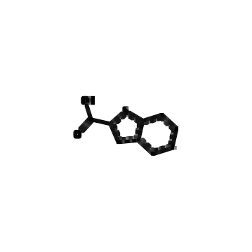 O=C(O)c1cc2c[c]ccc2s1